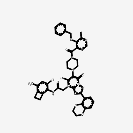 CCc1c(N2CCN(C(=O)c3ncnc(C)c3OCc3ccccc3)CC2)c(=O)n2nc(-c3cccc4c3OCCO4)nc2n1CC(=O)Nc1c(Cl)cc(C(F)(F)F)c2c1CC2